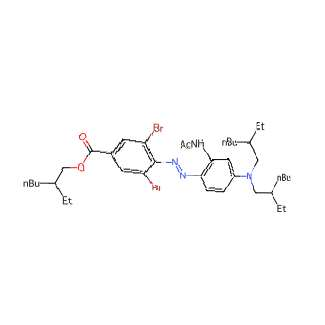 CCCCC(CC)COC(=O)c1cc(Br)c(N=Nc2ccc(N(CC(CC)CCCC)CC(CC)CCCC)cc2NC(C)=O)c(Br)c1